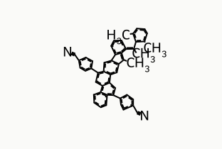 CC1=c2c(ccc/c2=C(/C)c2c(C)cccc2C)-c2cc3c(-c4ccc(C#N)cc4)cc4c5ccccc5c(-c5ccc(C#N)cc5)cc4c3cc21